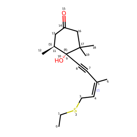 CCSC/C=C(/C)C#C[C@@]1(O)[C@@H](C)CC(=O)CC1(C)C